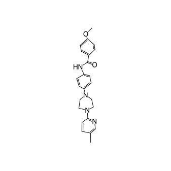 COc1ccc(C(=O)Nc2ccc(N3CCN(c4ccc(C)cn4)CC3)cc2)cc1